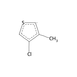 Cc1[c]scc1Cl